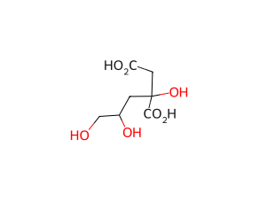 O=C(O)CC(O)(CC(O)CO)C(=O)O